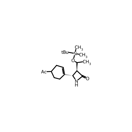 CC(=O)C1CC=C([C@H]2NC(=O)[C@@H]2C(C)O[Si](C)(C)C(C)(C)C)CC1